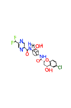 O=C(NC12CCC(NC(=O)[C@H]3C[C@@H](O)c4cc(Cl)ccc4O3)(CC1)C[C@@H]2O)c1cnc(C(F)F)cn1